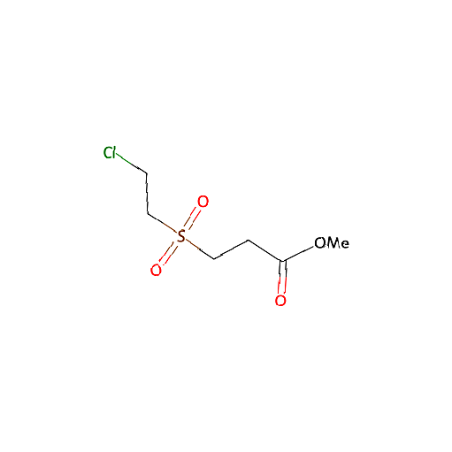 COC(=O)CCS(=O)(=O)CCCl